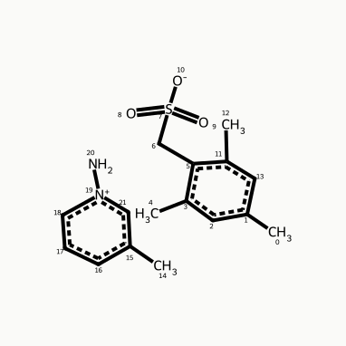 Cc1cc(C)c(CS(=O)(=O)[O-])c(C)c1.Cc1ccc[n+](N)c1